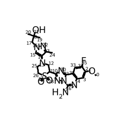 COc1cc2nc(N)n3nc(C4CN(c5cn(CC(C)(C)O)nc5C)CCS4(=O)=O)nc3c2cc1F